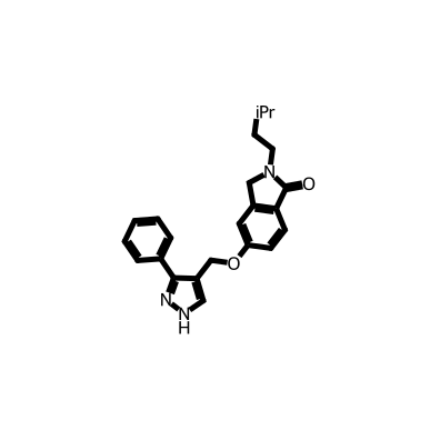 CC(C)CCN1Cc2cc(OCc3c[nH]nc3-c3ccccc3)ccc2C1=O